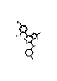 Cc1cc2c(-c3ccc(Br)cc3O)nnc(N[C@@H]3CCCN(C)C3)n2n1